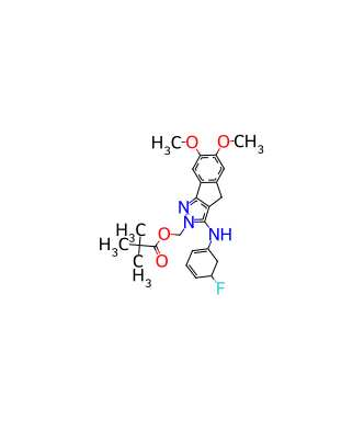 COc1cc2c(cc1OC)-c1nn(COC(=O)C(C)(C)C)c(NC3=CC=CC(F)C3)c1C2